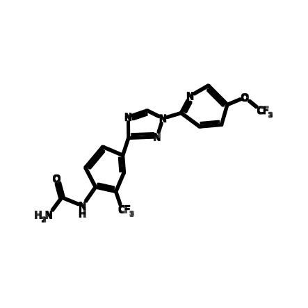 NC(=O)Nc1ccc(-c2ncn(-c3ccc(OC(F)(F)F)cn3)n2)cc1C(F)(F)F